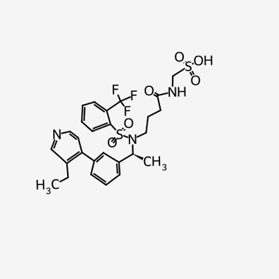 CCc1cnccc1-c1cccc([C@H](C)N(CCCC(=O)NCS(=O)(=O)O)S(=O)(=O)c2ccccc2C(F)(F)F)c1